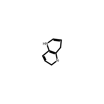 C1=CC2=C(CC=CN2)[N]C1